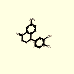 Nc1ccc2c(c1)C(=O)CCC2c1ccc(Cl)c(Cl)c1